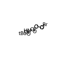 CC(C)(C)OC(=O)NCOC(=O)[C@@H]1CCC=C(c2cccc(Br)c2)C1